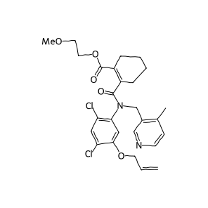 C=CCOc1cc(N(Cc2cnccc2C)C(=O)C2=C(C(=O)OCCOC)CCCC2)c(Cl)cc1Cl